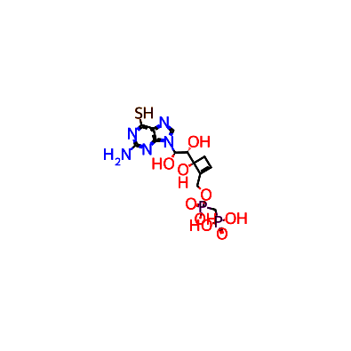 Nc1nc(S)c2ncn([C@H](O)[C@H](O)[C@]3(O)CC=C3COP(=O)(O)CP(=O)(O)O)c2n1